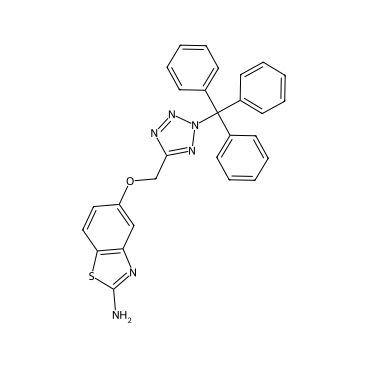 Nc1nc2cc(OCc3nnn(C(c4ccccc4)(c4ccccc4)c4ccccc4)n3)ccc2s1